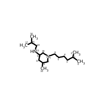 CC(C)CCCCN1CC(C)CC(NCC(C)C)C1